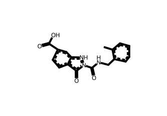 Cc1ccccc1CNC(=O)n1[nH]c2cc(C(=O)O)ccc2c1=O